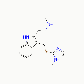 CN(C)CCc1[nH]c2ccccc2c1CSc1nccn1C